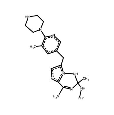 CCCNC1(C)N=C(N)c2ncc(Cc3cnc(N4CCNCC4)c(C)c3)n2N1